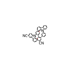 N#Cc1ccc(-c2ccccc2-n2c3ccccc3c3cc(C#N)ccc32)c(-c2cccc(-n3c4ccccc4c4ccccc43)c2)c1